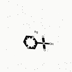 O=S(=O)(O)c1cnccn1.[Ag]